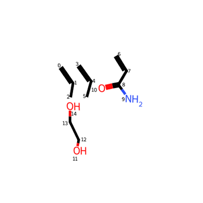 C=CC.C=CC.C=CC(N)=O.OCCO